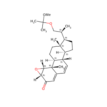 COC(C)(C)OC[C@@H](C)[C@H]1CC[C@H]2[C@@H]3C=CC4=CC(=O)[C@@H]5O[C@@H]5[C@]4(C)[C@H]3CC[C@]12C